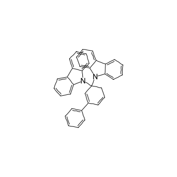 C1=CC(c2ccccc2)=CC(n2c3ccccc3c3ccccc32)(n2c3ccccc3c3ccccc32)C1